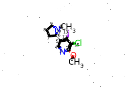 COc1ncc([C@@H]2CCCN2C)c(I)c1Cl